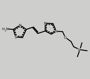 C[Si](C)(C)CCOCn1cnc(/C=C/c2csc(N)n2)c1